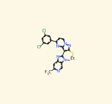 CCSc1nn2ccc(-c3cc(Cl)cc(Cl)c3)nc2c1-c1nc2cc(C(F)(F)F)ncc2n1C